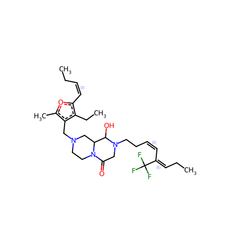 CC/C=C\c1oc(C)c(CN2CCN3C(=O)CN(CC/C=C\C(=C/CC)C(F)(F)F)C(O)C3C2)c1CC